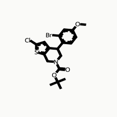 COc1ccc(C2CN(C(=O)OC(C)(C)C)Cc3sc(Cl)cc32)c(Br)c1